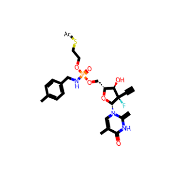 C#C[C@@]1(F)[C@H](O)[C@@H](COP(=O)(NCc2ccc(C)cc2)OCCSC(C)=O)O[C@H]1N1C=C(C)C(=O)NC1=C